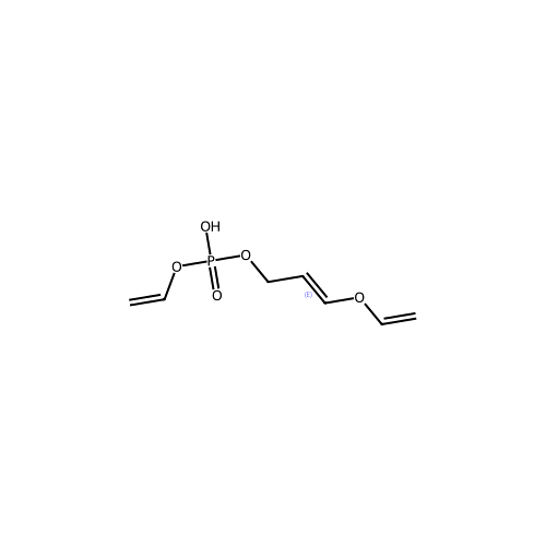 C=CO/C=C/COP(=O)(O)OC=C